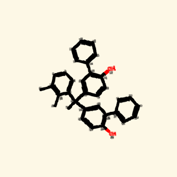 Cc1cccc(C(C)(c2ccc(O)c(-c3ccccc3)c2)c2ccc(O)c(-c3ccccc3)c2)c1C